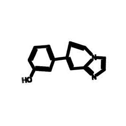 Oc1cccc(-c2ccn3ccnc3c2)c1